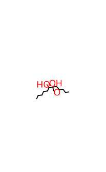 CCCCCC(O)C(O)(C=O)CCCCC